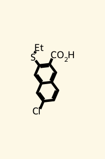 CCSc1cc2cc(Cl)ccc2cc1C(=O)O